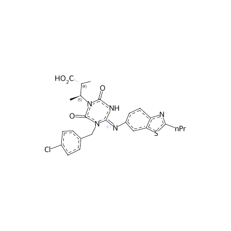 CCCc1nc2ccc(/N=c3\[nH]c(=O)n([C@@H](C)[C@@H](C)C(=O)O)c(=O)n3Cc3ccc(Cl)cc3)cc2s1